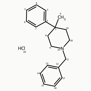 CC1(c2ccccc2)CCN(Cc2ccccc2)CC1.Cl